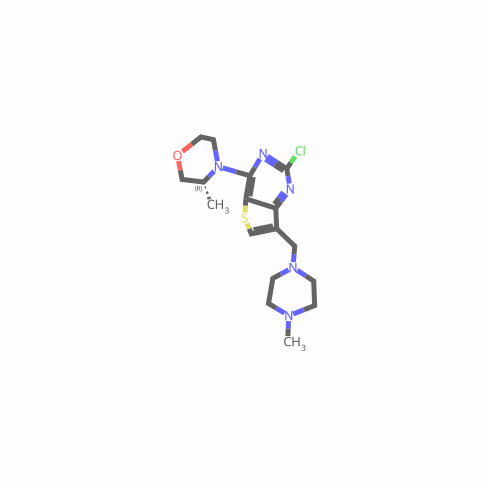 C[C@@H]1COCCN1c1nc(Cl)nc2c(CN3CCN(C)CC3)csc12